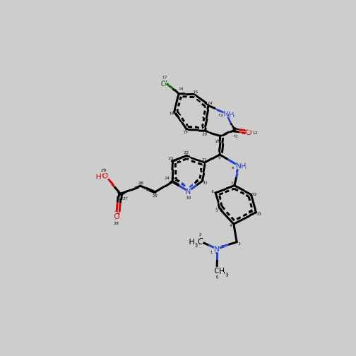 CN(C)Cc1ccc(N/C(=C2\C(=O)Nc3cc(Cl)ccc32)c2ccc(CCC(=O)O)nc2)cc1